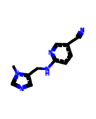 Cn1cncc1CNc1ccc(C#N)cn1